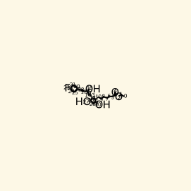 CCOC(=O)CCCCCC[C@@H]1[C@@H](CCC(O)C#Cc2ccc(F)cc2)[C@H](O)C[C@@H]1O